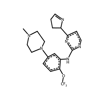 CN1CCN(c2ccc(OC(F)(F)F)c(Nc3nccc(C4CCC=N4)n3)c2)CC1